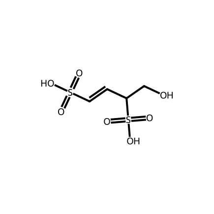 O=S(=O)(O)C=CC(CO)S(=O)(=O)O